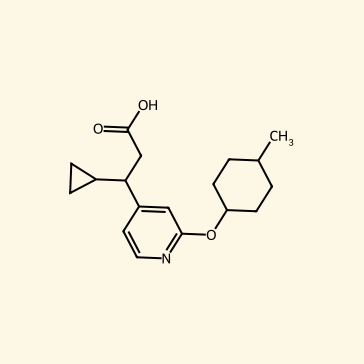 CC1CCC(Oc2cc(C(CC(=O)O)C3CC3)ccn2)CC1